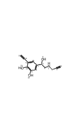 C#CCNCC(O)c1cc(O)c(O)c(C#C)c1